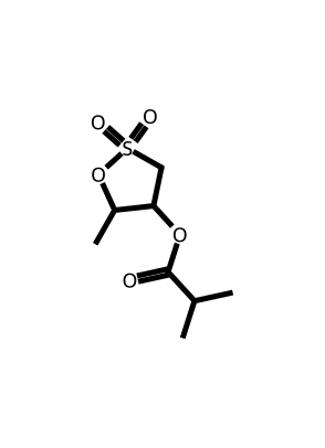 CC(C)C(=O)OC1CS(=O)(=O)OC1C